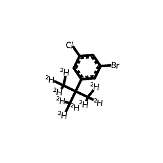 [2H]C([2H])([2H])C(c1cc(Cl)cc(Br)c1)(C([2H])([2H])[2H])C([2H])([2H])[2H]